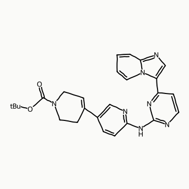 CC(C)(C)OC(=O)N1CC=C(c2ccc(Nc3nccc(-c4cnc5ccccn45)n3)nc2)CC1